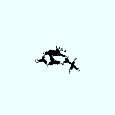 Oc1nc(C(F)(F)F)nc2nc(Cl)sc12